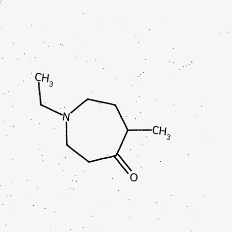 CCN1CCC(=O)C(C)CC1